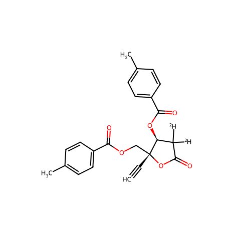 [2H]C1([2H])C(=O)O[C@](C#C)(COC(=O)c2ccc(C)cc2)[C@H]1OC(=O)c1ccc(C)cc1